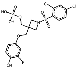 N#Cc1ccc(OCC2(COP(=O)(O)O)CN(S(=O)(=O)c3ccc(Cl)cc3Cl)C2)cc1F